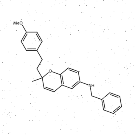 COc1ccc(CCC2(C)C=Cc3cc(NCc4ccccc4)ccc3O2)cc1